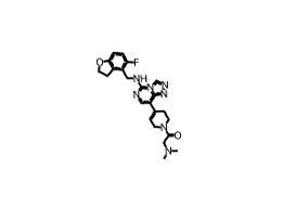 CN(C)CC(=O)N1CC=C(c2cnc(NCc3c(F)ccc4c3CCO4)n3cnnc23)CC1